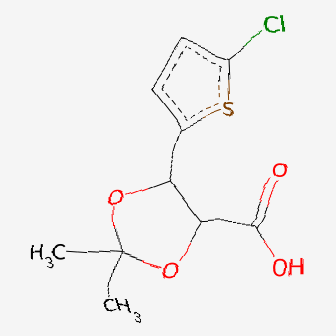 CC1(C)OC(C(=O)O)C(c2ccc(Cl)s2)O1